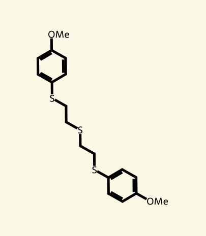 COc1ccc(SCCSCCSc2ccc(OC)cc2)cc1